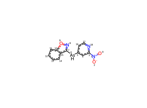 O=[N+]([O-])c1cc([AsH]c2noc3ccccc23)ccn1